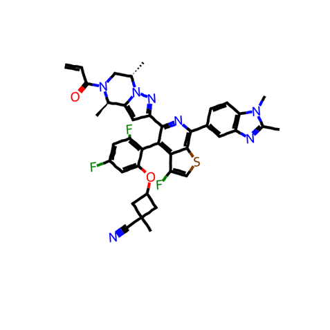 C=CC(=O)N1C[C@H](C)n2nc(-c3nc(-c4ccc5c(c4)nc(C)n5C)c4scc(F)c4c3-c3c(F)cc(F)cc3OC3CC(C)(C#N)C3)cc2[C@H]1C